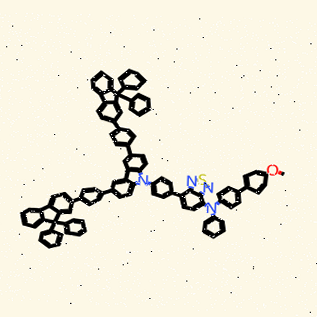 COc1ccc(-c2ccc(N(c3ccccc3)c3ccc(-c4ccc(-n5c6ccc(-c7ccc(-c8ccc9c(c8)C(c8ccccc8)(c8ccccc8)c8ccccc8-9)cc7)cc6c6cc(-c7ccc(-c8ccc9c(c8)C(c8ccccc8)(c8ccccc8)c8ccccc8-9)cc7)ccc65)cc4)c4nsnc34)cc2)cc1